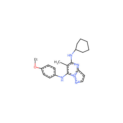 CCOc1ccc(Nc2c(C)c(NC3CCCCC3)nc3ccnn23)cc1